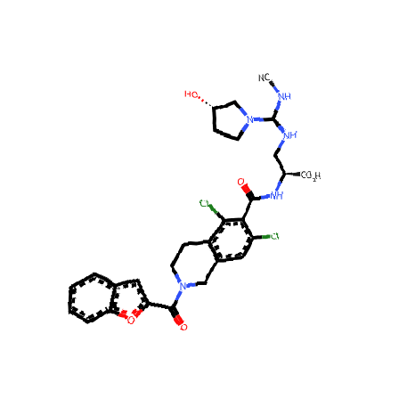 N#CNC(NC[C@H](NC(=O)c1c(Cl)cc2c(c1Cl)CCN(C(=O)c1cc3ccccc3o1)C2)C(=O)O)N1CC[C@H](O)C1